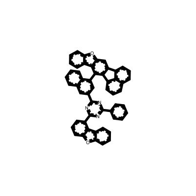 c1ccc(-c2nc(-c3cc(-c4c5c(cc6oc7ccccc7c46)-c4cccc6cccc-5c46)c4ccccc4c3)nc(-c3cccc4oc5ccccc5c34)n2)cc1